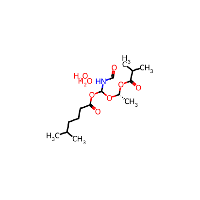 CC(C)CCCC(=O)OC(NC=O)O[C@@H](C)OC(=O)C(C)C.O.O